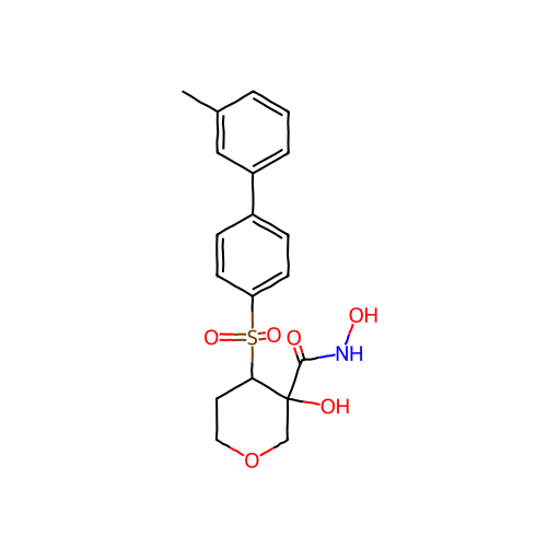 Cc1cccc(-c2ccc(S(=O)(=O)C3CCOCC3(O)C(=O)NO)cc2)c1